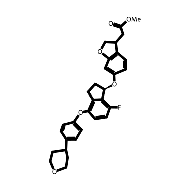 COC(=O)CC1COc2cc(O[C@@H]3CCc4c(Oc5ccc(C6CCOCC6)cc5)ccc(F)c43)ccc21